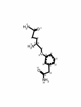 NC(=O)CC[C@H](N)COc1cccc(CC(N)=O)c1